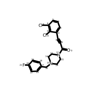 O=C(C#Cc1cccc(Cl)c1Cl)N1CCN(Cc2ccc(F)cc2)CC1